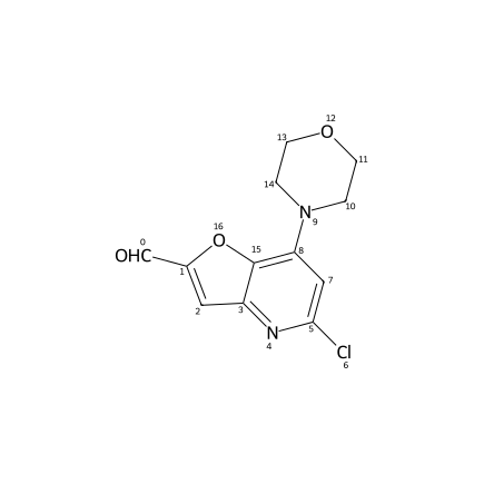 O=Cc1cc2nc(Cl)cc(N3CCOCC3)c2o1